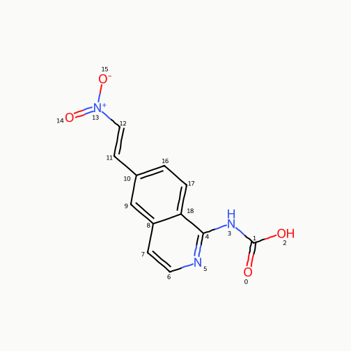 O=C(O)Nc1nccc2cc(C=C[N+](=O)[O-])ccc12